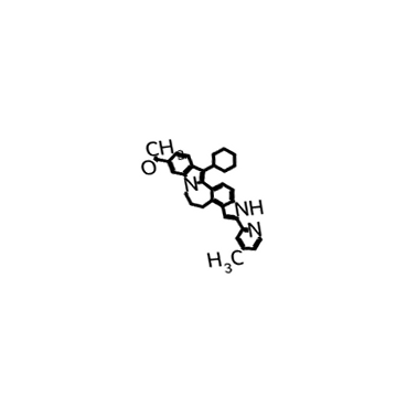 CC(=O)c1ccc2c(C3CCCCC3)c3n(c2c1)CCCc1c-3ccc2[nH]c(-c3cc(C)ccn3)cc12